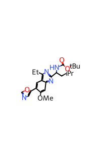 CCc1nc(C(CC(C)C)NC(=O)OC(C)(C)C)nc2cc(OC)c(-c3cnco3)cc12